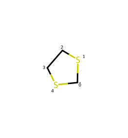 [CH]1SCCS1